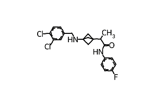 CC(C(=O)Nc1ccc(F)cc1)C12CC(NCc3ccc(Cl)c(Cl)c3)(C1)C2